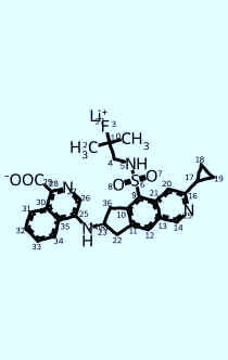 CC(C)(F)CNS(=O)(=O)c1c2c(cc3cnc(C4CC4)cc13)C[C@@H](Nc1cnc(C(=O)[O-])c3ccccc13)C2.[Li+]